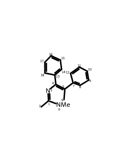 CN/C(C)=N\C(=C(/C)c1ccccc1)c1ccccc1